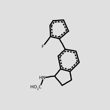 O=C(O)NC1CCc2ccc(-c3ccccc3F)cc21